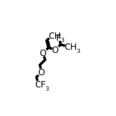 CC=C(OCCOCC(F)(F)F)OC(C)F